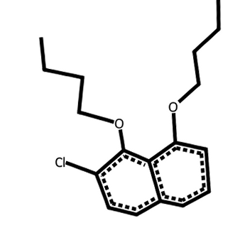 CCCCOc1cccc2ccc(Cl)c(OCCCC)c12